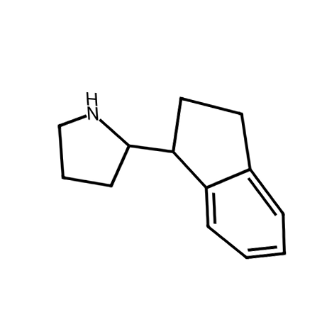 c1ccc2c(c1)CCC2C1CCCN1